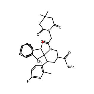 CNC(=O)C1CC(c2ccc(F)cc2C)C(C(c2ccccc2)C(F)(F)F)(C(c2ccccc2)C(F)(F)F)N(C(=O)CN2C(=O)CC(C)(C)CC2=O)C1